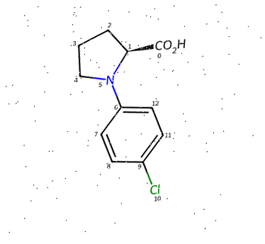 O=C(O)[C@@H]1CCCN1c1ccc(Cl)cc1